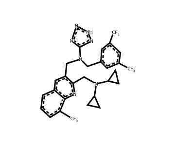 FC(F)(F)c1cc(CN(Cc2cc3cccc(C(F)(F)F)c3nc2CN(C2CC2)C2CC2)c2nn[nH]n2)cc(C(F)(F)F)c1